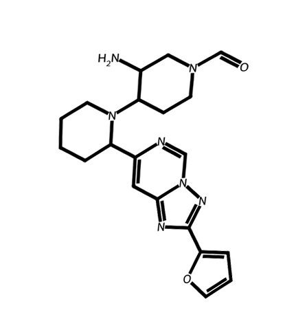 NC1CN(C=O)CCC1N1CCCCC1c1cc2nc(-c3ccco3)nn2cn1